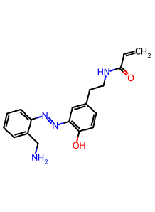 C=CC(=O)NCCc1ccc(O)c(N=Nc2ccccc2CN)c1